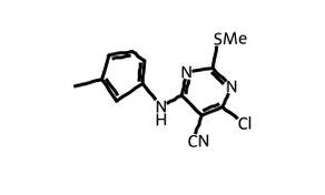 CSc1nc(Cl)c(C#N)c(Nc2cccc(C)c2)n1